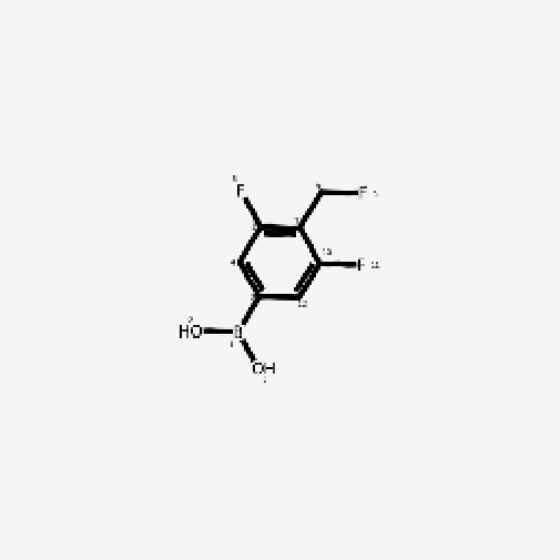 OB(O)c1cc(F)c(CF)c(F)c1